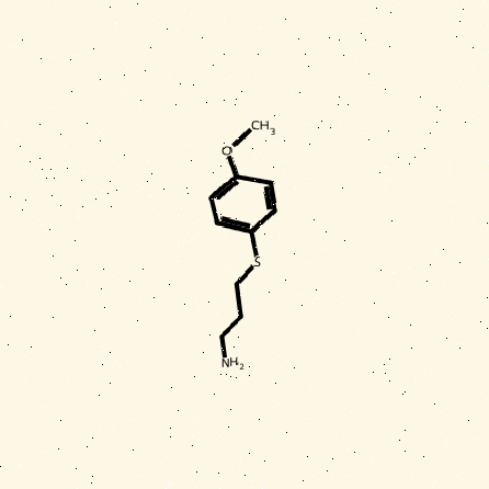 COc1ccc(SCCCN)cc1